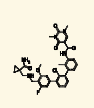 COc1cc(-c2cccc(-c3cccc(NC(=O)c4cn(C)c(=O)n(C)c4=O)c3C)c2Cl)cc(F)c1CNCC1(C(N)=O)CC1